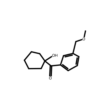 COCc1cccc(C(=O)C2(O)CCCCC2)c1